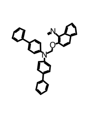 C=Nc1c(OCN(c2ccc(-c3ccccc3)cc2)c2ccc(-c3ccccc3)cc2)ccc2ccccc12